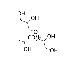 CC(O)C(=O)O.OCC(O)COCC(O)CO